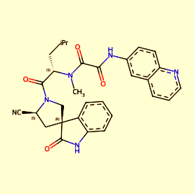 CC(C)C[C@@H](C(=O)N1C[C@]2(C[C@H]1C#N)C(=O)Nc1ccccc12)N(C)C(=O)C(=O)Nc1ccc2ncccc2c1